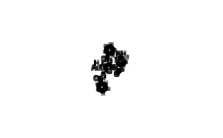 CC(=O)O[C@]1(C)[C@@H](COC(=O)c2ccccc2)O[C@@H](n2c(=O)sc3cnc(N)nc32)[C@@H]1OC(=O)c1ccccc1